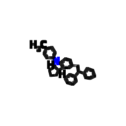 Cc1ccc(N2c3ccc(C=C(c4ccccc4)c4ccccc4)cc3[C@@H]3CCC[C@@H]32)cc1